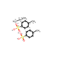 Cc1ccc(S(=O)(=O)[O-])cc1.Cc1ccc(S(=O)(=O)[O-])cc1.[CH3][Sn+2][CH3]